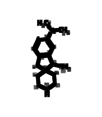 CN(C)c1ccc2c(c1)C(N)C1(CCNCC1)C2